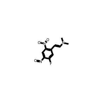 CN(C)/C=C/c1cc(F)c(N=O)cc1[N+](=O)[O-]